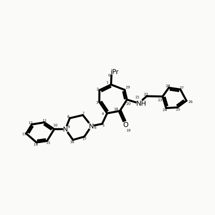 CC(C)c1ccc(CN2CCN(c3ccccc3)CC2)c(=O)c(NCc2ccccc2)c1